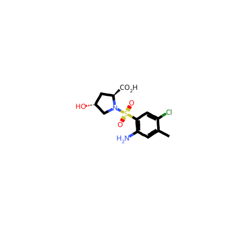 Cc1cc(N)c(S(=O)(=O)N2C[C@H](O)C[C@H]2C(=O)O)cc1Cl